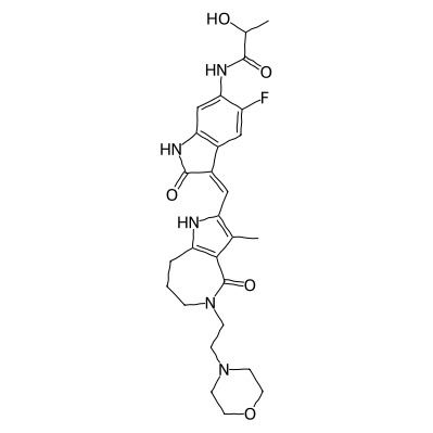 Cc1c(/C=C2\C(=O)Nc3cc(NC(=O)C(C)O)c(F)cc32)[nH]c2c1C(=O)N(CCN1CCOCC1)CCC2